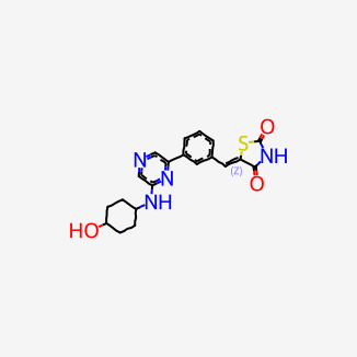 O=C1NC(=O)/C(=C/c2cccc(-c3cncc(NC4CCC(O)CC4)n3)c2)S1